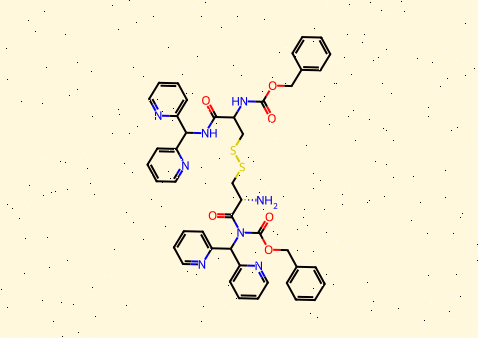 N[C@@H](CSSCC(NC(=O)OCc1ccccc1)C(=O)NC(c1ccccn1)c1ccccn1)C(=O)N(C(=O)OCc1ccccc1)C(c1ccccn1)c1ccccn1